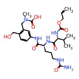 C=CCOC(=O)N[C@H](C(=O)N[C@@H](CCCNC(N)=O)C(=O)Nc1ccc(CO)c(CN(C)C(=O)O)c1)C(C)C